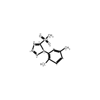 Cc1ccc(C)c(-n2nnnc2S(C)(=O)=O)c1